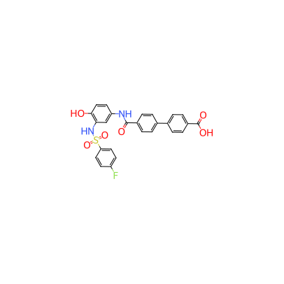 O=C(O)c1ccc(-c2ccc(C(=O)Nc3ccc(O)c(NS(=O)(=O)c4ccc(F)cc4)c3)cc2)cc1